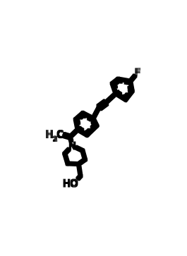 C=C(c1ccc(C#Cc2ccc(F)cc2)cc1)N1CCC(CO)CC1